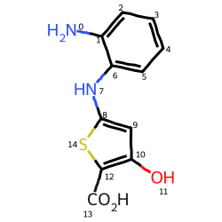 Nc1ccccc1Nc1cc(O)c(C(=O)O)s1